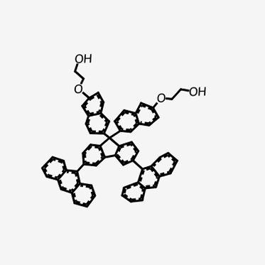 OCCOc1ccc2cc(C3(c4ccc5cc(OCCO)ccc5c4)c4ccc(-c5c6ccccc6cc6ccccc56)cc4-c4cc(-c5c6ccccc6cc6ccccc56)ccc43)ccc2c1